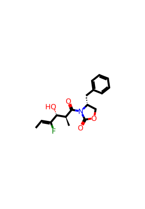 C/C=C(\F)[C@H](O)[C@H](C)C(=O)N1C(=O)OC[C@H]1Cc1ccccc1